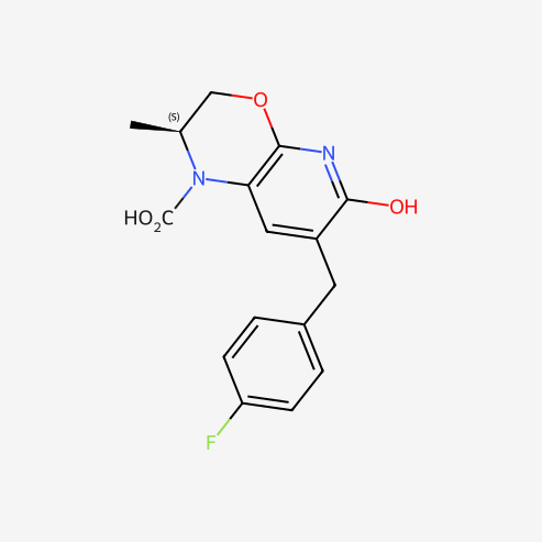 C[C@H]1COc2nc(O)c(Cc3ccc(F)cc3)cc2N1C(=O)O